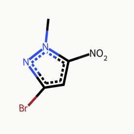 Cn1nc(Br)cc1[N+](=O)[O-]